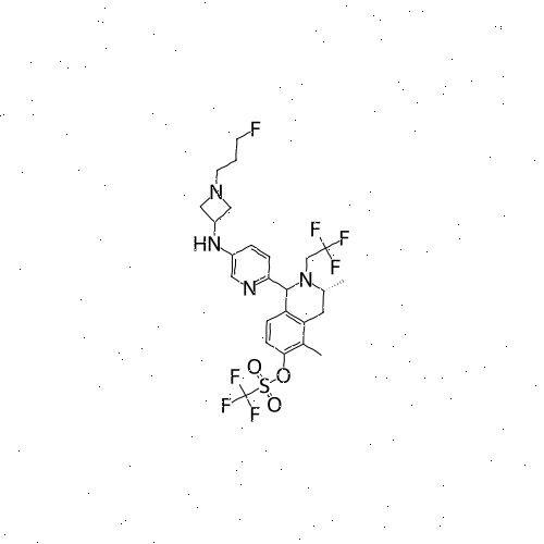 Cc1c(OS(=O)(=O)C(F)(F)F)ccc2c1C[C@@H](C)N(CC(F)(F)F)C2c1ccc(NC2CN(CCCF)C2)cn1